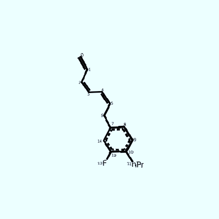 C=C/C=C\C=C/Cc1ccc(CCC)c(F)c1